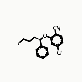 N#Cc1ccc(Cl)cc1O[C@H](CCCI)c1ccccc1